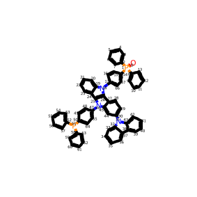 O=P(c1ccccc1)(c1ccccc1)c1ccc(-n2c3ccccc3c3c2c2ccc(-n4c5ccccc5c5ccccc54)cc2n3-c2ccc(P(c3ccccc3)c3ccccc3)cc2)cc1